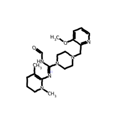 COc1cccnc1CN1CCN(/C(=N/C2=C(C)CCCN2C)NC=O)CC1